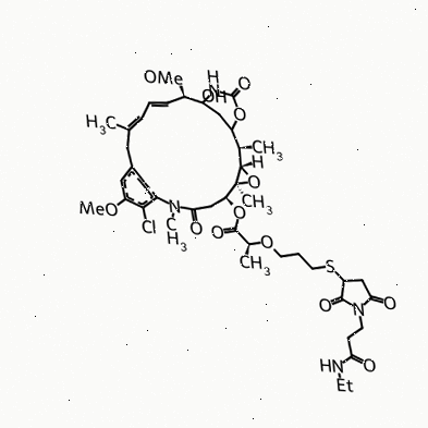 CCNC(=O)CCN1C(=O)CC(SCCCO[C@@H](C)C(=O)O[C@H]2CC(=O)N(C)c3cc(cc(OC)c3Cl)C/C(C)=C/C=C/[C@@H](OC)[C@@]3(O)CC(OC(=O)N3)[C@@H](C)[C@@H]3O[C@@]23C)C1=O